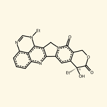 CCN1C=Nc2cccc3nc4c(c1c23)Cn1c-4cc2c(c1=O)COC(=O)[C@]2(O)CC